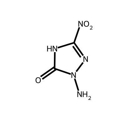 Nn1nc([N+](=O)[O-])[nH]c1=O